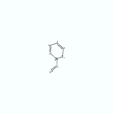 S=CN1C=CC=CS1